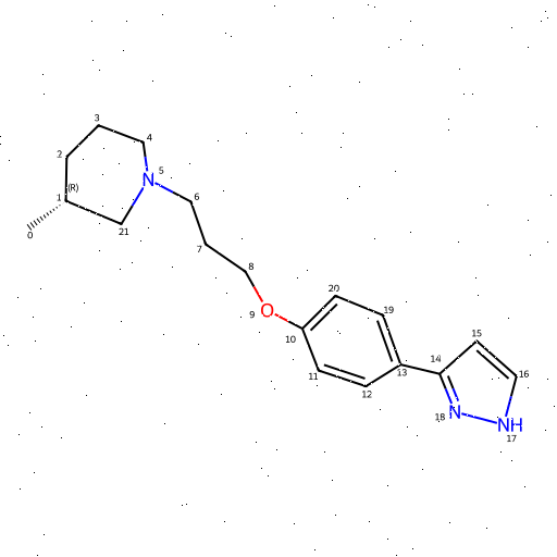 C[C@@H]1CCCN(CCCOc2ccc(-c3cc[nH]n3)cc2)C1